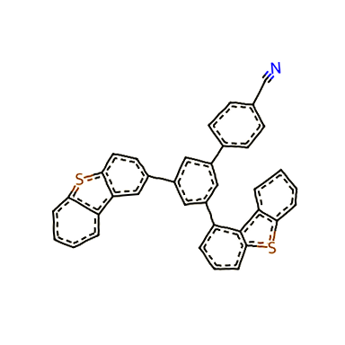 N#Cc1ccc(-c2cc(-c3ccc4sc5ccccc5c4c3)cc(-c3cccc4sc5ccccc5c34)c2)cc1